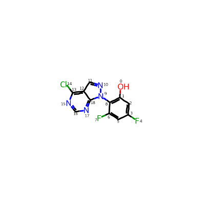 Oc1cc(F)cc(F)c1-n1ncc2c(Cl)ncnc21